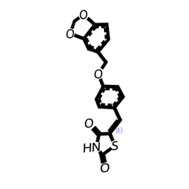 O=C1NC(=O)/C(=C\c2ccc(OCc3ccc4c(c3)OCO4)cc2)S1